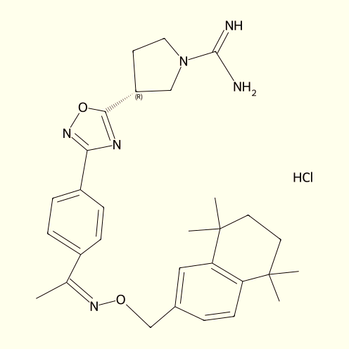 CC(=NOCc1ccc2c(c1)C(C)(C)CCC2(C)C)c1ccc(-c2noc([C@@H]3CCN(C(=N)N)C3)n2)cc1.Cl